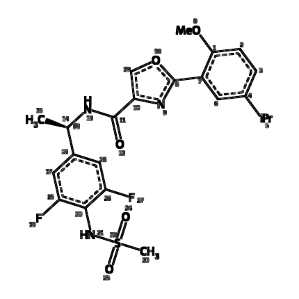 COc1ccc(C(C)C)cc1-c1nc(C(=O)N[C@H](C)c2cc(F)c(NS(C)(=O)=O)c(F)c2)co1